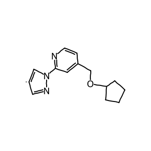 [c]1cnn(-c2cc(COC3CCCC3)ccn2)c1